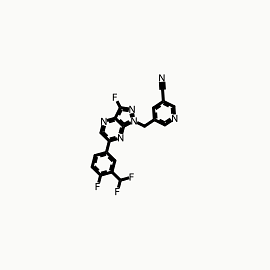 N#Cc1cncc(Cn2nc(F)c3ncc(-c4ccc(F)c(C(F)F)c4)nc32)c1